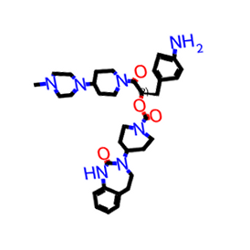 CN1CCN(C2CCN(C(=O)[C@@H](Cc3ccc(N)cc3)OC(=O)N3CCC(N4CCc5ccccc5NC4=O)CC3)CC2)CC1